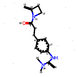 C=C(Nc1ccc(CCC(=O)N2CCC2=C)cc1)N(C)C